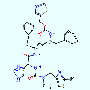 CC(C)c1nc(CN(C)C(=O)NC(C(=O)N[C@H](CC[C@H](Cc2ccccc2)NC(=O)OCc2cncs2)Cc2ccccc2)c2c[nH]cn2)cs1